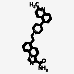 Cc1ccc2c(C3CCN(CCc4cccc5c4ccc4c(C(N)=O)ncn45)CC3)cccc2n1